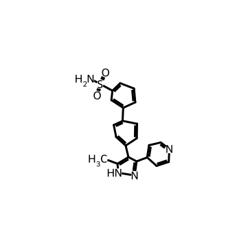 Cc1[nH]nc(-c2ccncc2)c1-c1ccc(-c2cccc(S(N)(=O)=O)c2)cc1